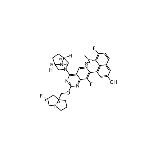 C[S+]([O-])c1c(F)ccc2cc(O)cc(-c3ncc4c(N5C[C@H]6CC[C@@H](C5)N6)nc(OC[C@@]56CCCN5C[C@H](F)C6)nc4c3F)c12